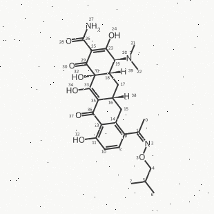 C/C(=N/OCC(C)C)c1ccc(O)c2c1C[C@H]1C[C@H]3[C@H](N(C)C)C(O)=C(C(N)=O)C(=O)[C@@]3(O)C(O)=C1C2=O